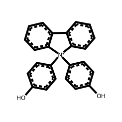 Oc1ccc([N+]2(c3ccc(O)cc3)c3ccccc3-c3ccccc32)cc1